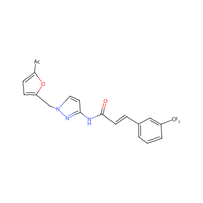 CC(=O)c1ccc(Cn2ccc(NC(=O)/C=C/c3cccc(C(F)(F)F)c3)n2)o1